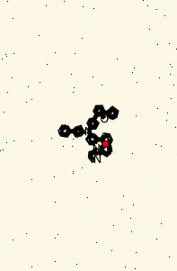 c1ccc(-c2ccc(N(c3ccc(-c4cccc5c4oc4ccccc45)cc3)c3ccc(-n4c5ccccc5c5ncccc54)c(-c4ccccc4)c3)cc2)cc1